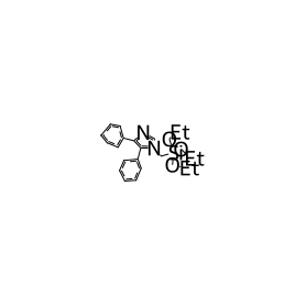 CCO[Si](Cn1cnc(-c2ccccc2)c1-c1ccccc1)(OCC)OCC